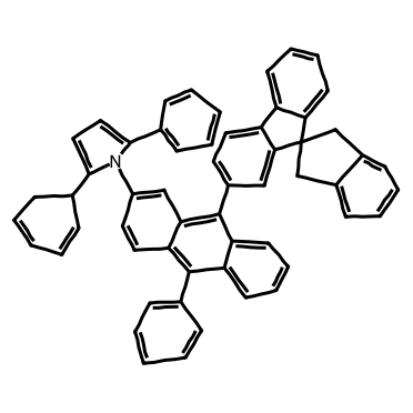 C1=CCC(c2ccc(-c3ccccc3)n2-c2ccc3c(-c4ccccc4)c4ccccc4c(-c4ccc5c(c4)C4(Cc6ccccc6C4)c4ccccc4-5)c3c2)C=C1